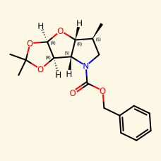 C[C@H]1CN(C(=O)OCc2ccccc2)[C@@H]2[C@H]3OC(C)(C)O[C@H]3O[C@@H]21